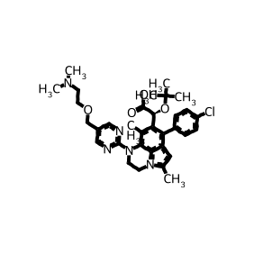 Cc1c([C@H](OC(C)(C)C)C(=O)O)c(-c2ccc(Cl)cc2)c2cc(C)n3c2c1N(c1ncc(COCCN(C)C)cn1)CC3